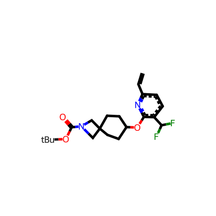 C=Cc1ccc(C(F)F)c(OC2CCC3(CC2)CN(C(=O)OC(C)(C)C)C3)n1